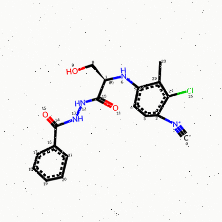 [C-]#[N+]c1ccc(N[C@H](CO)C(=O)NNC(=O)c2ccccc2)c(C)c1Cl